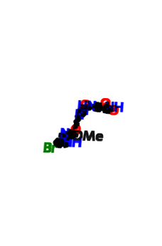 COc1cc2c(NC(C)c3cccc(Br)c3)nc(C)nc2cc1OCCCCCN1CCN(C(=O)CNc2ccc(C3CCC(=O)NC3=O)cc2)CC1